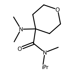 CC(C)N(C)C(=O)C1(N(C)C)CCOCC1